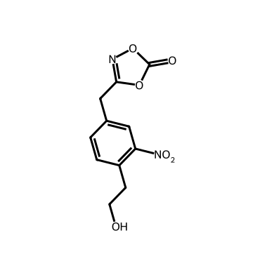 O=c1onc(Cc2ccc(CCO)c([N+](=O)[O-])c2)o1